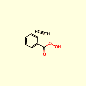 C#C.O=C(OO)c1ccccc1